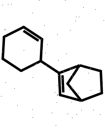 [C]1=C(C2C=CCCC2)C2CCC1C2